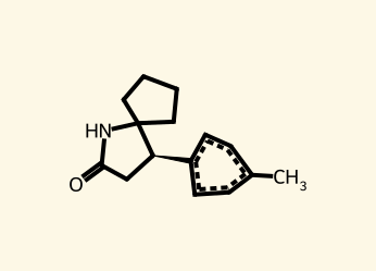 Cc1ccc([C@H]2CC(=O)NC23CCCC3)cc1